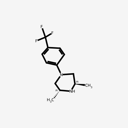 C[C@@H]1CN(c2ccc(C(F)(F)F)cc2)C[C@@H](C)N1